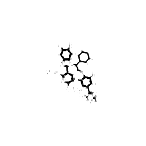 COc1ccc(-c2nc3cc(F)c(F)cc3n2C(COc2c(F)cc(-c3nnn[nH]3)cc2F)C2CCCCC2)c(OC)n1